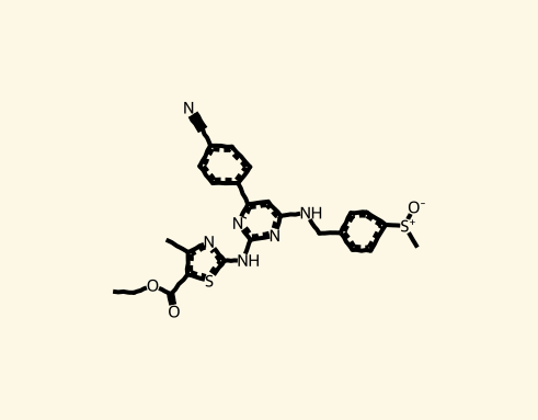 CCOC(=O)c1sc(Nc2nc(NCc3ccc([S+](C)[O-])cc3)cc(-c3ccc(C#N)cc3)n2)nc1C